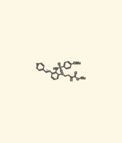 COc1ccc(S(=O)(=O)Nc2c(/C=C/c3ccncc3)cccc2OCCNC(=O)OC(C)(C)C)cc1